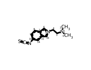 CN(C)CCn1cc2ccc(N=C=S)cc2c1